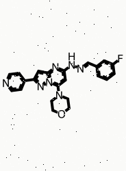 Fc1cccc(C=NNc2cc(N3CCOCC3)n3nc(-c4ccncc4)cc3n2)c1